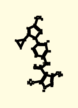 Cc1cc(C2CC2)n(-c2ccc(NC(=O)c3c(C)noc3C)cn2)n1